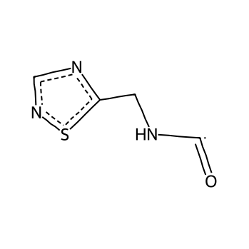 O=[C]NCc1ncns1